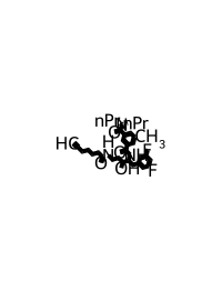 C#CCCCCC(=O)NCCC(O)C(Cc1cc(F)cc(F)c1)NC(=O)c1cc(C)cc(C(=O)N(CCC)CCC)c1